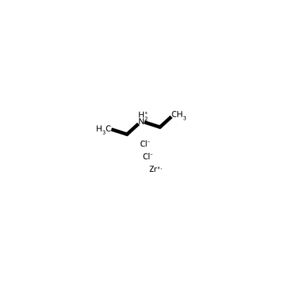 CC[NH2+]CC.[Cl-].[Cl-].[Zr+]